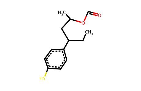 CCC(CC(C)OC=O)c1ccc(S)cc1